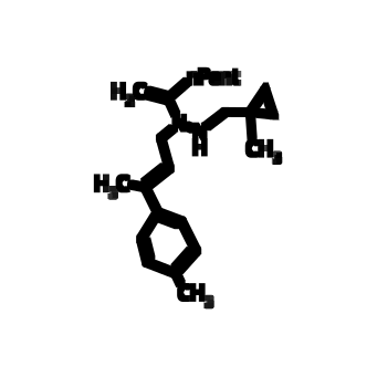 C=C(CCCCC)N(C/C=C(\C)c1ccc(C)cc1)NCC1(C)CC1